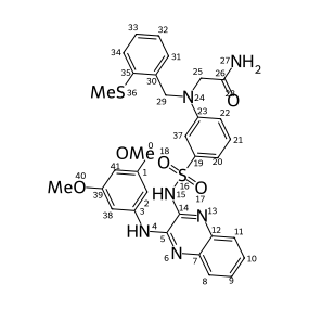 COc1cc(Nc2nc3ccccc3nc2NS(=O)(=O)c2cccc(N(CC(N)=O)Cc3ccccc3SC)c2)cc(OC)c1